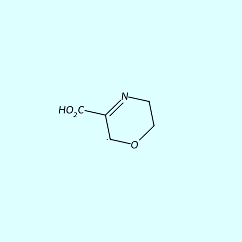 O=C(O)C1=NCCO[CH]1